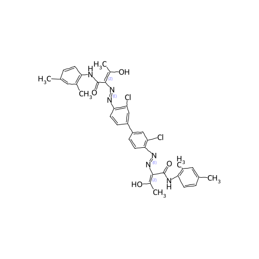 C/C(O)=C(/N=N/c1ccc(-c2ccc(/N=N/C(C(=O)Nc3ccc(C)cc3C)=C(/C)O)c(Cl)c2)cc1Cl)C(=O)Nc1ccc(C)cc1C